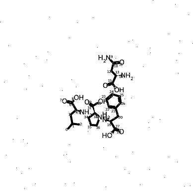 CC(C)C[C@H](N)C(=O)O.NC(=O)C[C@H](N)C(=O)O.N[C@@H](Cc1ccccc1)C(=O)O.O=C(O)[C@@H]1CCCN1